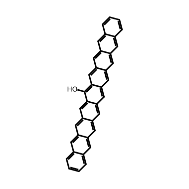 Oc1c2cc3cc4cc5ccccc5cc4cc3cc2cc2cc3cc4cc5ccccc5cc4cc3cc12